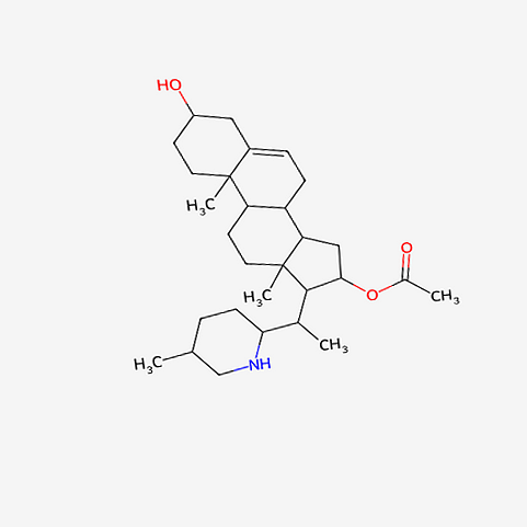 CC(=O)OC1CC2C3CC=C4CC(O)CCC4(C)C3CCC2(C)C1C(C)C1CCC(C)CN1